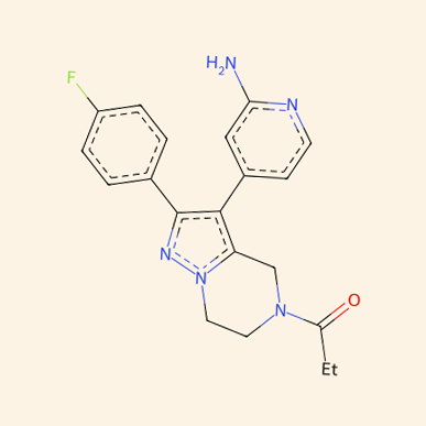 CCC(=O)N1CCn2nc(-c3ccc(F)cc3)c(-c3ccnc(N)c3)c2C1